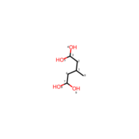 CC(CC(O)O)CC(O)O